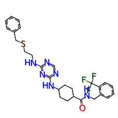 O=C(NCc1ccccc1C(F)(F)F)C1CCC(Nc2ncnc(NCCSCc3ccccc3)n2)CC1